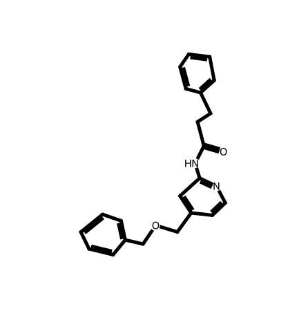 O=C(CCc1ccccc1)Nc1cc(COCc2ccccc2)ccn1